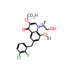 CCOc1cc(Cc2cccc(Cl)c2F)cc2c(=O)c(OC(=O)O)cn([C@@H](C)CO)c12